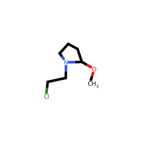 COC1CCCN1CCCl